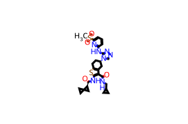 CS(=O)(=O)c1cccc(Nc2nncn2[C@H]2CCc3sc(NC(=O)[C@H]4CC45CC5)c(C(=O)NCC4CC4)c3C2)n1